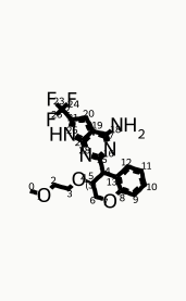 COCCO[C@@H]1COc2ccccc2C1c1nc(N)c2cc(C(F)(F)F)[nH]c2n1